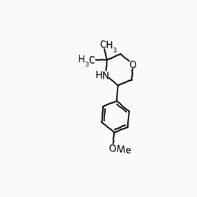 COc1ccc(C2COCC(C)(C)N2)cc1